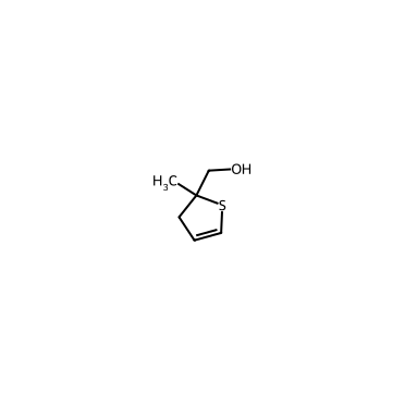 CC1(CO)CC=CS1